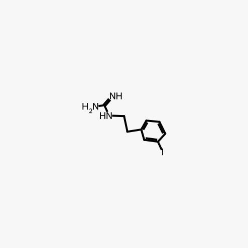 N=C(N)NCCc1cccc(I)c1